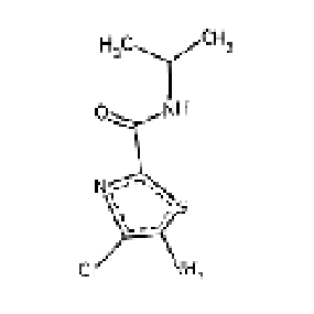 CC(C)NC(=O)c1nc(Cl)c(N)s1